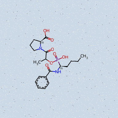 CCCC[C@@H](NC(=O)c1ccccc1)P(=O)(O)OC(C)C(=O)N1CCC[C@H]1C(=O)O